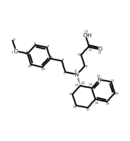 COc1ccc(CCN(CCC(=O)O)[C@H]2CCCc3cccnc32)cc1